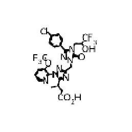 CC(CC(=O)O)c1nc(Cn2nc(-c3ccc(Cl)cc3)n(C[C@H](O)C(F)(F)F)c2=O)nn1-c1ncccc1OC(F)(F)F